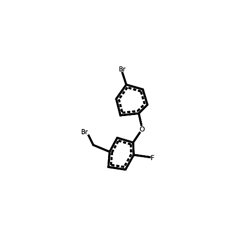 Fc1ccc(CBr)cc1Oc1ccc(Br)cc1